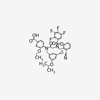 CCOc1cc(C(=O)O)ccc1N(Cc1cc(OC(C)C)cc(C2CC2)c1)C(=O)CN(Cc1ccccc1C#N)S(=O)(=O)c1cc(F)c(F)c(F)c1F